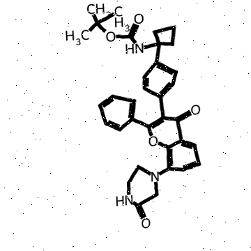 CC(C)(C)OC(=O)NC1(c2ccc(-c3c(-c4ccccc4)oc4c(N5CCNC(=O)C5)cccc4c3=O)cc2)CCC1